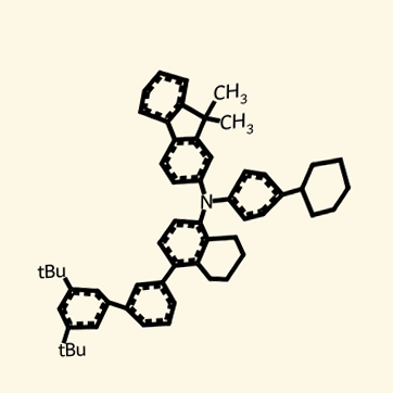 CC(C)(C)c1cc(-c2cccc(-c3ccc(N(c4ccc(C5CCCCC5)cc4)c4ccc5c(c4)C(C)(C)c4ccccc4-5)c4c3CCCC4)c2)cc(C(C)(C)C)c1